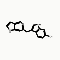 Cc1ccc2c(Cc3cc4[nH]ccc4cn3)c[nH]c2c1